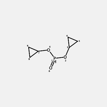 O=[PH](OC1CC1)OC1CC1